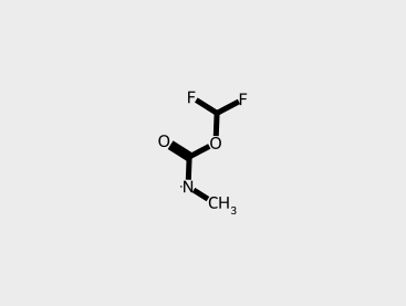 C[N]C(=O)OC(F)F